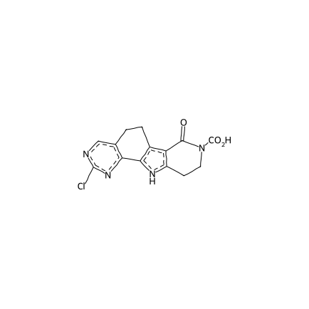 O=C(O)N1CCc2[nH]c3c(c2C1=O)CCc1cnc(Cl)nc1-3